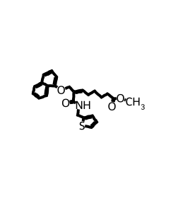 COC(=O)CCCCC=C(COc1cccc2ccccc12)C(=O)NCc1cccs1